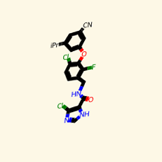 CC(C)c1cc(C#N)cc(Oc2c(Cl)ccc(CNC(=O)c3[nH]cnc3Cl)c2F)c1